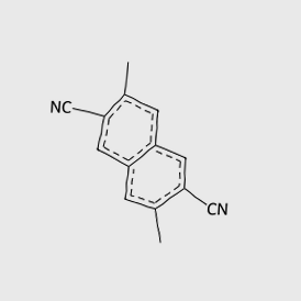 Cc1cc2cc(C#N)c(C)cc2cc1C#N